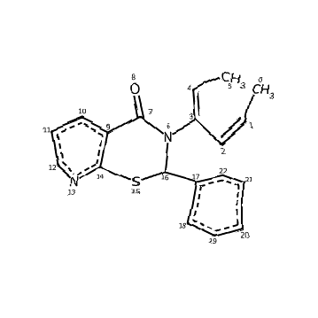 C/C=C\C(=C/C)N1C(=O)c2cccnc2SC1c1ccccc1